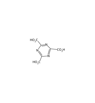 O=C(O)c1nc(C(=O)O)nc(C(=O)O)n1